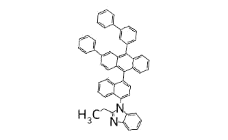 CCc1nc2ccccc2n1-c1ccc(-c2c3ccccc3c(-c3cccc(-c4ccccc4)c3)c3cc(-c4ccccc4)ccc23)c2ccccc12